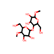 COC1OC(CO)C(OC2OC(CO)C(OC)C(O)C2O)C(O)C1O